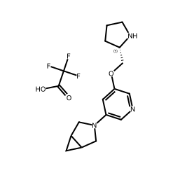 O=C(O)C(F)(F)F.c1ncc(N2CC3CC3C2)cc1OC[C@@H]1CCCN1